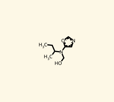 CCC(C)N(CO)c1cnco1